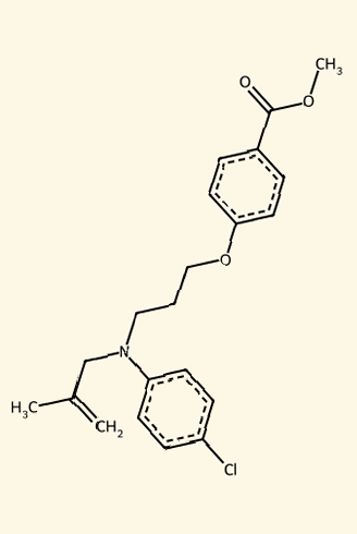 C=C(C)CN(CCCOc1ccc(C(=O)OC)cc1)c1ccc(Cl)cc1